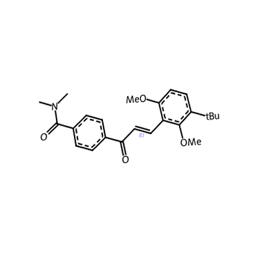 COc1ccc(C(C)(C)C)c(OC)c1/C=C/C(=O)c1ccc(C(=O)N(C)C)cc1